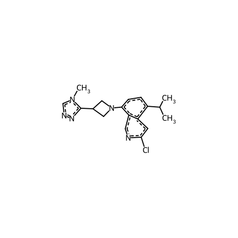 CC(C)c1ccc(N2CC(c3nncn3C)C2)c2cnc(Cl)cc12